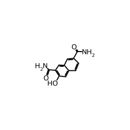 NC(=O)c1ccc2cc(O)c(C(N)=O)cc2c1